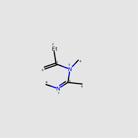 C=C(CC)N(C)/C(C)=N\C